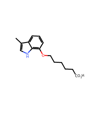 Cc1c[nH]c2c(OCCCCCC(=O)O)cccc12